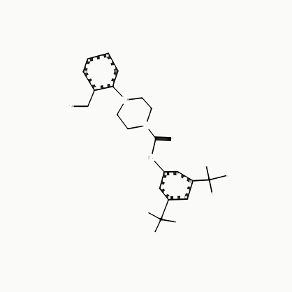 NCc1ccccc1N1CCN(C(=O)Nc2cc(C(F)(F)F)cc(C(F)(F)F)c2)CC1